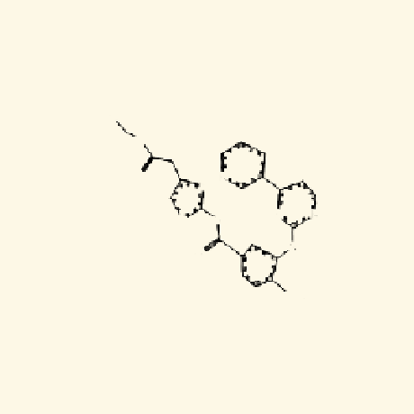 CCOC(=O)Cc1csc(NC(=O)c2ccc(C)c(Nc3nccc(-c4cccnc4)n3)c2)n1